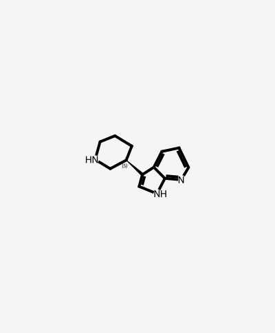 c1cnc2[nH]cc([C@@H]3CCCNC3)c2c1